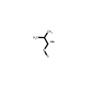 Br.CC(C)C[O][Ti]